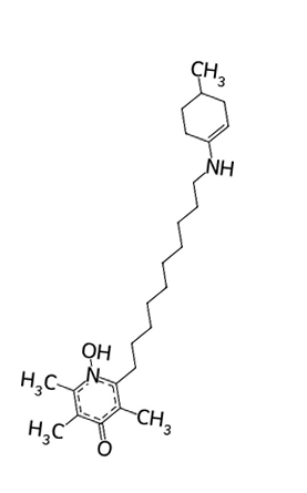 Cc1c(C)n(O)c(CCCCCCCCCCNC2=CCC(C)CC2)c(C)c1=O